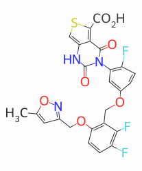 Cc1cc(COc2ccc(F)c(F)c2COc2ccc(F)c(-n3c(=O)[nH]c4csc(C(=O)O)c4c3=O)c2)no1